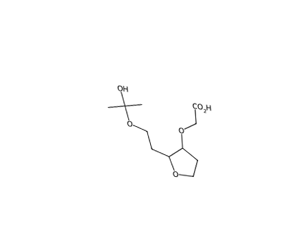 CC(C)(O)OCCC1OCCC1OCC(=O)O